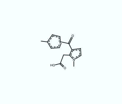 Cc1ccc(C(=O)c2ccn(C)c2CC(=O)O)cc1